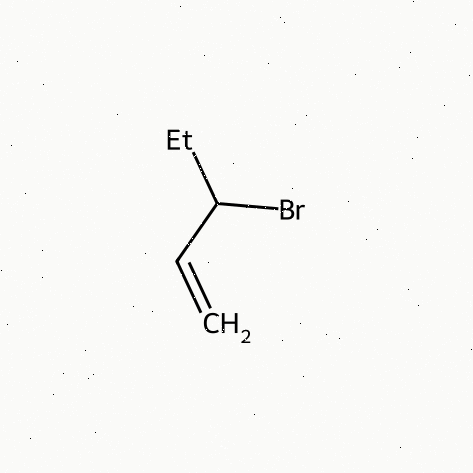 C=CC(Br)CC